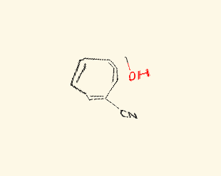 CO.N#Cc1ccccc1